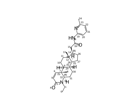 CCN1C(=O)C=C[C@]2(C)[C@H]3CC[C@]4(C)[C@@H](CC(=O)Nc5cccc(C)n5)CC[C@H]4[C@@H]3CC[C@@H]12